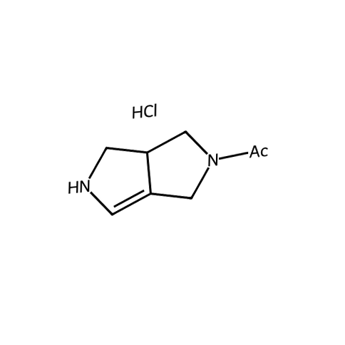 CC(=O)N1CC2=CNCC2C1.Cl